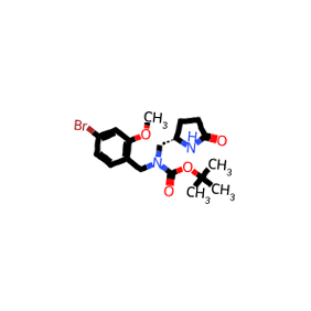 COc1cc(Br)ccc1CN(C[C@@H]1CCC(=O)N1)C(=O)OC(C)(C)C